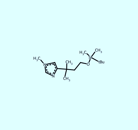 Cn1cnc(C(C)(C)CCO[Si](C)(C)C(C)(C)C)c1